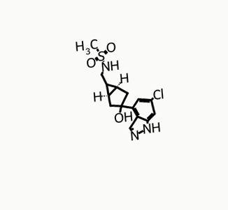 CS(=O)(=O)NCC1[C@H]2CC(O)(c3cc(Cl)cc4[nH]ncc34)C[C@@H]12